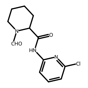 O=CN1CCCCC1C(=O)Nc1cccc(Cl)n1